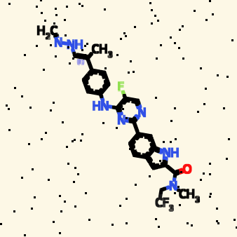 C=NN/C=C(\C)c1ccc(Nc2nc(-c3ccc4cc(C(=O)N(C)CC(F)(F)F)[nH]c4c3)ncc2F)cc1